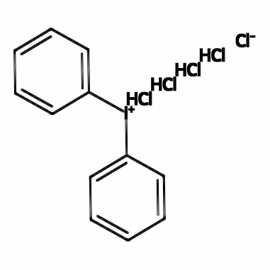 Cl.Cl.Cl.Cl.[Cl-].c1ccc([I+]c2ccccc2)cc1